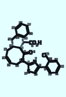 O=C(O)C[C@@H]1C(=O)N(c2nc(-c3ccccc3Cl)cs2)CC=CC[C@@H]1Cc1ccccc1